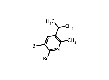 Cc1nc(Br)c(Br)cc1C(C)C